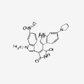 Cn1cc(C2=C(c3c[nH]c4cc(N5CCCC5)ccc34)C(=O)NC2=O)c2ccc([N+](=O)[O-])cc21